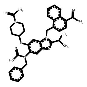 CC(=N)N1CCC(Oc2cc3c(cc2N(Cc2ccccc2)C(=O)O)nc(C(C)C)n3Cc2ccc(C(=N)N)c3ccccc23)CC1